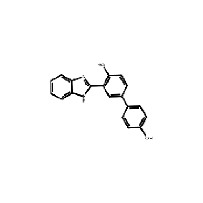 Oc1ccc(-c2ccc(O)c(-c3nc4ccccc4[nH]3)c2)cc1